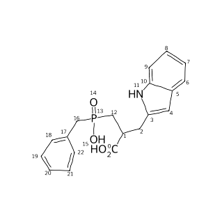 O=C(O)C(Cc1cc2ccccc2[nH]1)CP(=O)(O)Cc1ccccc1